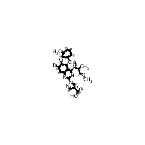 COCC(C)Nc1nc(-n2cc(C(=O)O)cn2)nc2cc(F)c(Oc3c(C)cccc3C)cc12